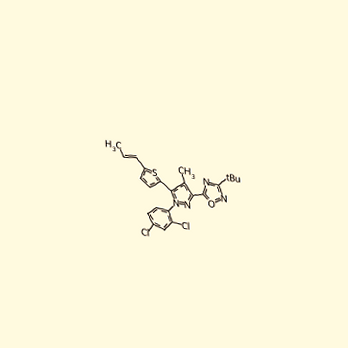 C/C=C/c1ccc(-c2c(C)c(-c3nc(C(C)(C)C)no3)nn2-c2ccc(Cl)cc2Cl)s1